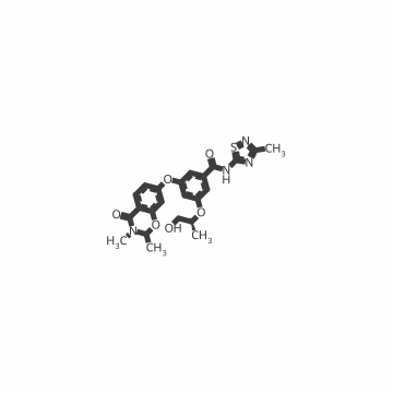 Cc1nsc(NC(=O)c2cc(Oc3ccc4c(c3)OC(C)N(C)C4=O)cc(O[C@@H](C)CO)c2)n1